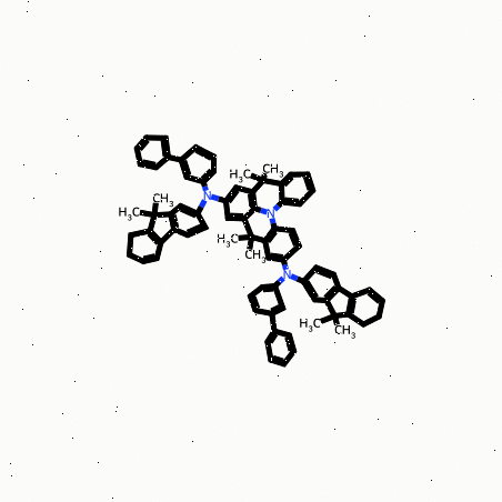 CC1(C)C2=C(C=CCC2)c2ccc(N(c3cccc(-c4ccccc4)c3)c3ccc4c(c3)C(C)(C)c3cc(N(c5cccc(-c6ccccc6)c5)c5ccc6c(c5)C(C)(C)C5=C6C=CCC5)cc5c3N4c3ccccc3C5(C)C)cc21